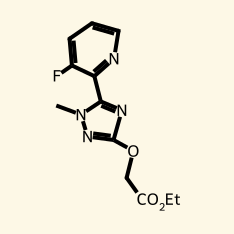 CCOC(=O)COc1nc(-c2ncccc2F)n(C)n1